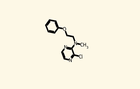 CN(CCOc1ccccc1)c1nccnc1Cl